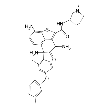 Cc1cccc(Oc2ccc(C3(N)C(=O)C(N)c4c(C(=O)NC5CCCN(C)C5)sc5c(N)ccc3c45)c(C)c2)c1